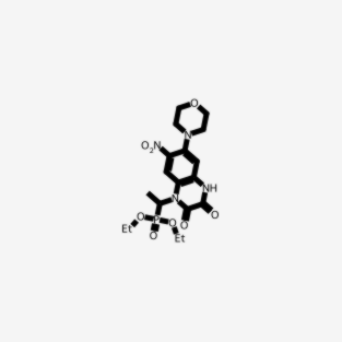 CCOP(=O)(OCC)C(C)n1c(=O)c(=O)[nH]c2cc(N3CCOCC3)c([N+](=O)[O-])cc21